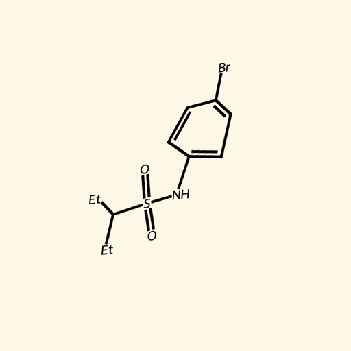 CCC(CC)S(=O)(=O)Nc1ccc(Br)cc1